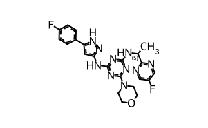 C[C@H](Nc1nc(Nc2cc(-c3ccc(F)cc3)[nH]n2)nc(N2CCOCC2)n1)c1ncc(F)cn1